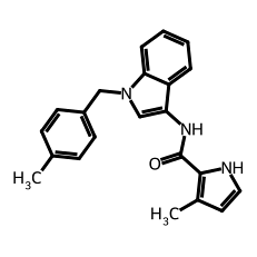 Cc1ccc(Cn2cc(NC(=O)c3[nH]ccc3C)c3ccccc32)cc1